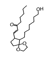 CCCCCC(=O)C=CC1CCC2(OCCO2)C1CCCCCCCO